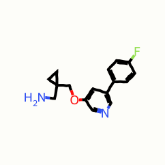 NCC1(COc2cncc(-c3ccc(F)cc3)c2)CC1